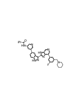 CC(C)C(=O)Nc1cncc(-c2ccc3[nH]nc(-c4nc5c(-c6cc(F)cc(CN7CCCCC7)c6)cncc5[nH]4)c3c2)c1